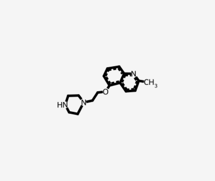 Cc1ccc2c(OCCN3CCNCC3)cccc2n1